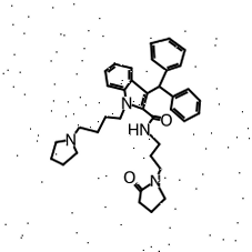 O=C(NCCCN1CCCC1=O)c1c(C(c2ccccc2)c2ccccc2)c2ccccc2n1CCCCN1CCCC1